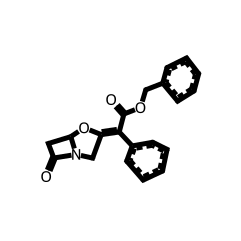 O=C(OCc1ccccc1)C(=C1CN2C(=O)CC2O1)c1ccccc1